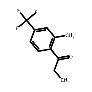 CCC(=O)c1ccc(C(F)(F)F)cc1C